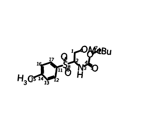 COCC(NC(=O)OC(C)(C)C)S(=O)(=O)c1ccc(C)cc1